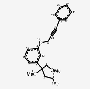 COCC(CCC(C)=O)(OC)c1cccc(OCC#Cc2ccccc2)c1